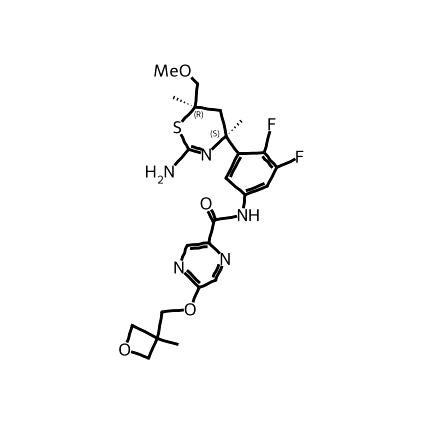 COC[C@@]1(C)C[C@@](C)(c2cc(NC(=O)c3cnc(OCC4(C)COC4)cn3)cc(F)c2F)N=C(N)S1